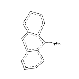 CC[CH]c1c2ccccc2cc2ccccc12